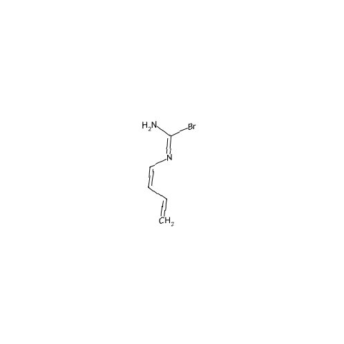 C=C/C=C\N=C(/N)Br